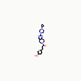 O=C(/C=C/c1ccc(O)cc1)N1CCc2cnc(N3CCN(C4CCC4)CC3)nc2CC1